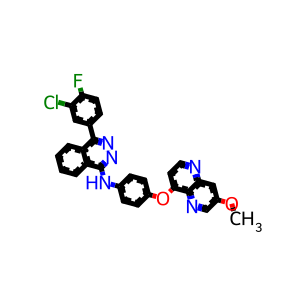 COc1cnc2c(Oc3ccc(Nc4nnc(-c5ccc(F)c(Cl)c5)c5ccccc45)cc3)ccnc2c1